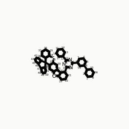 c1ccc(-c2cccc(-c3nc(-c4ccccc4)nc(-c4cccc5oc6cc7c(cc6c45)Sc4ccccc4C74c5ccccc5-c5ccccc54)n3)c2)cc1